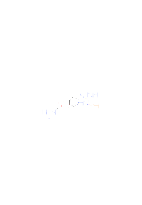 C#[PH]NC(=N)Nc1ccc(OC(=O)C(C)(C)N)cc1